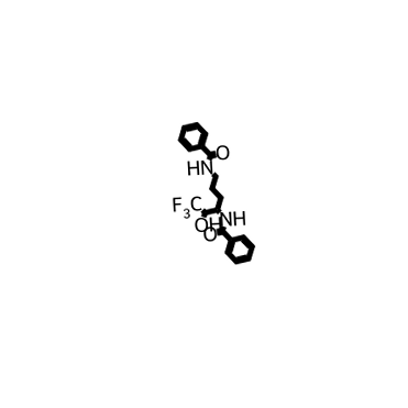 O=C(NCCCC(NC(=O)c1ccccc1)C(O)C(F)(F)F)c1ccccc1